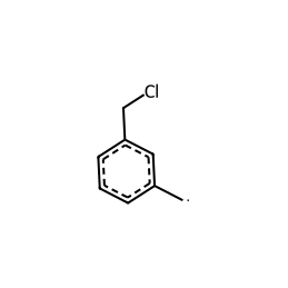 [CH2]c1cccc(CCl)c1